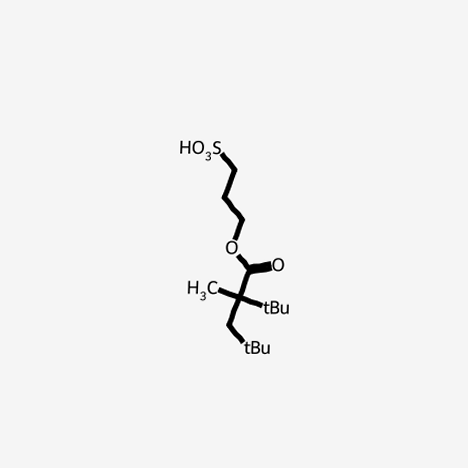 CC(C)(C)CC(C)(C(=O)OCCCS(=O)(=O)O)C(C)(C)C